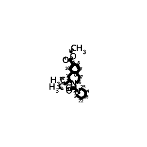 CCOC(=O)c1ccc2c(c1)CC(C(C)(C)C)N(C(=O)N1CCCCC1)CC2